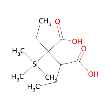 CCC(C(=O)O)C(CC)(C(=O)O)[Si](C)(C)C